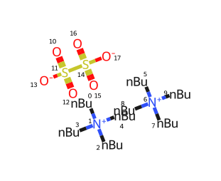 CCCC[N+](CCCC)(CCCC)CCCC.CCCC[N+](CCCC)(CCCC)CCCC.O=S(=O)([O-])S(=O)(=O)[O-]